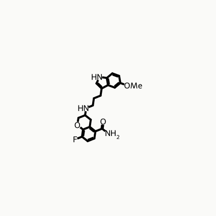 COc1ccc2[nH]cc(CCCNC3COc4c(F)ccc(C(N)=O)c4C3)c2c1